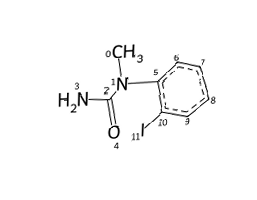 CN(C(N)=O)c1ccccc1I